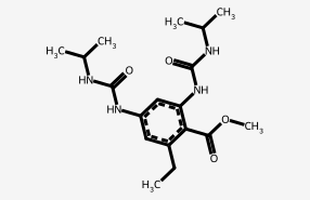 CCc1cc(NC(=O)NC(C)C)cc(NC(=O)NC(C)C)c1C(=O)OC